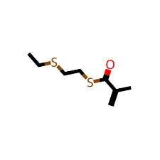 C=C(C)C(=O)SCCSCC